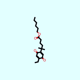 CCCCCCOC(=O)CCCC(C)(C)C1=CC(=O)C(CC)=CC1=O